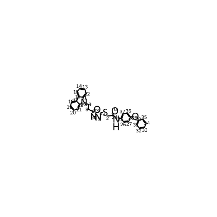 O=C(CSc1nnc(CCn2c3ccccc3c3ccccc32)o1)Nc1ccc(Oc2ccccc2)cc1